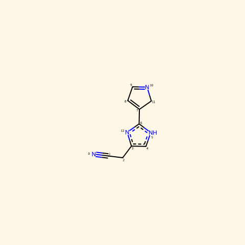 N#CCc1c[nH]c(C2=CC=NC2)n1